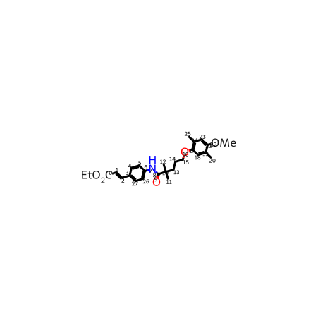 CCOC(=O)C=Cc1ccc(NC(=O)C(C)(C)CCCOc2cc(C)c(OC)cc2C)cc1